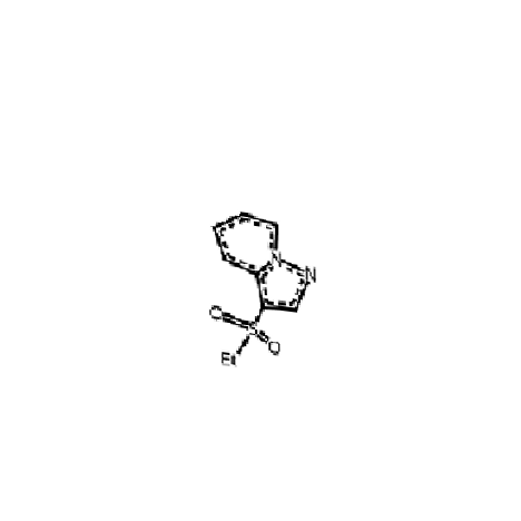 CCS(=O)(=O)c1cnn2ccccc12